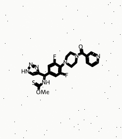 COC(=S)NC(c1cc(F)c(N2CCN(C(=O)c3cccnc3)CC2)c(F)c1)c1c[nH]nn1